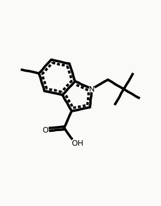 Cc1ccc2c(c1)c(C(=O)O)cn2CC(C)(C)C